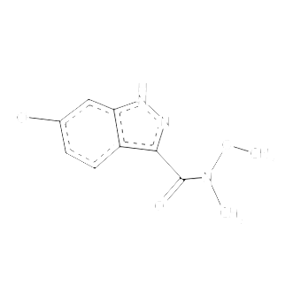 CON(C)C(=O)c1n[nH]c2cc(Cl)ccc12